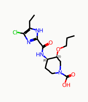 CCCO[C@H]1CN(C(=O)O)CC[C@H]1NC(=O)c1nc(Cl)c(CC)[nH]1